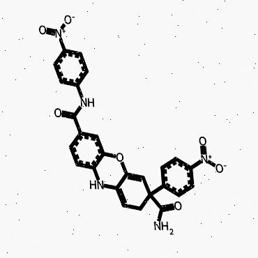 NC(=O)C1(c2ccc([N+](=O)[O-])cc2)C=C2Oc3cc(C(=O)Nc4ccc([N+](=O)[O-])cc4)ccc3NC2=CC1